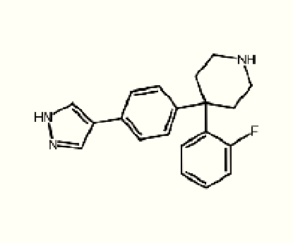 Fc1ccccc1C1(c2ccc(-c3cn[nH]c3)cc2)CCNCC1